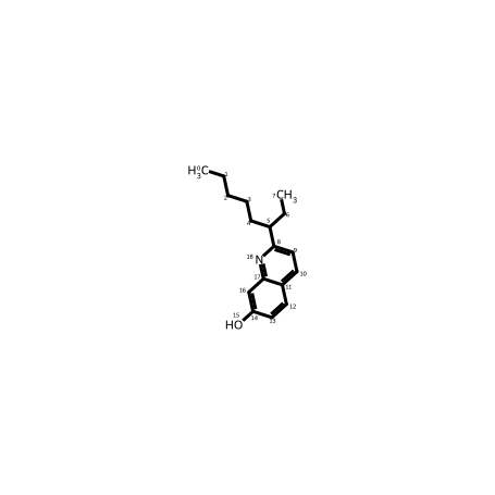 CCCCCC(CC)c1ccc2ccc(O)cc2n1